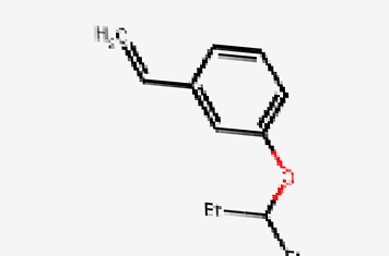 C=Cc1cccc(OC(CC)CC)c1